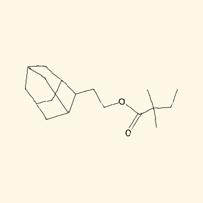 CCC(C)(C)C(=O)OCCC1C2CC3CC(C2)CC1C3